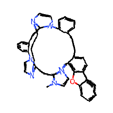 CN1C=CN2c3c(ccc4c3oc3ccccc34)CCc3ccccc3N3C=CN4CCCN5C=CN(c6ccccc6CC43)C5CC12